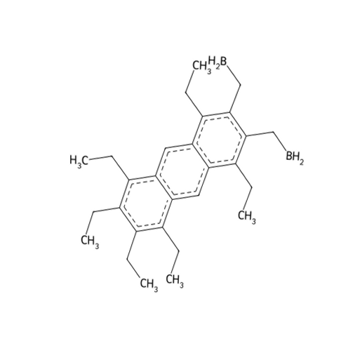 BCc1c(CB)c(CC)c2cc3c(CC)c(CC)c(CC)c(CC)c3cc2c1CC